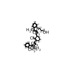 C=C(/C=C/C1=C(Cl)C(=C/C=C2/N(CCCO)c3ccccc3C2(C)C)/CCC1)C(C)(C)c1ccccc1C